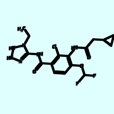 CCN1NNN=C1NC(=O)c1ccc(OC(F)F)c(NC(=O)CC2CC2)c1Cl